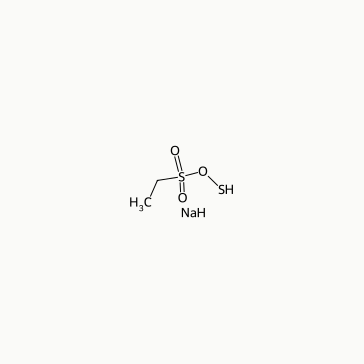 CCS(=O)(=O)OS.[NaH]